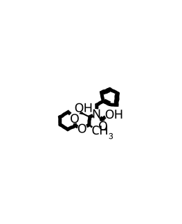 C[C@@H](OC1CCCCO1)[C@@H](CO)N(Cc1ccccc1)C(=O)O